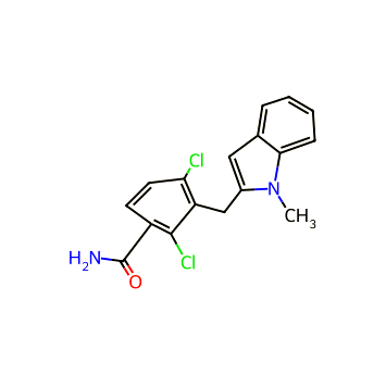 Cn1c(Cc2c(Cl)ccc(C(N)=O)c2Cl)cc2ccccc21